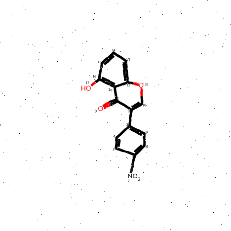 O=c1c(-c2ccc([N+](=O)[O-])cc2)coc2cccc(O)c12